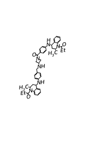 CCC(=O)N1c2ccccc2[C@H](Nc2ccc(CNC3CN(C(=O)c4ccc(N[C@@H]5C[C@H](C)N(C(=O)CC)c6ccccc65)cc4)C3)cc2)C[C@@H]1C